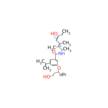 C=C/C(O)=C\C(C)=C(/C)C(C)NC(=O)c1cc(OC(CCC)CCO)cc(C(=C)C)c1